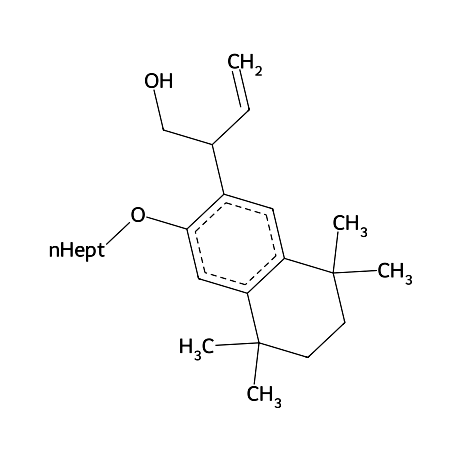 C=CC(CO)c1cc2c(cc1OCCCCCCC)C(C)(C)CCC2(C)C